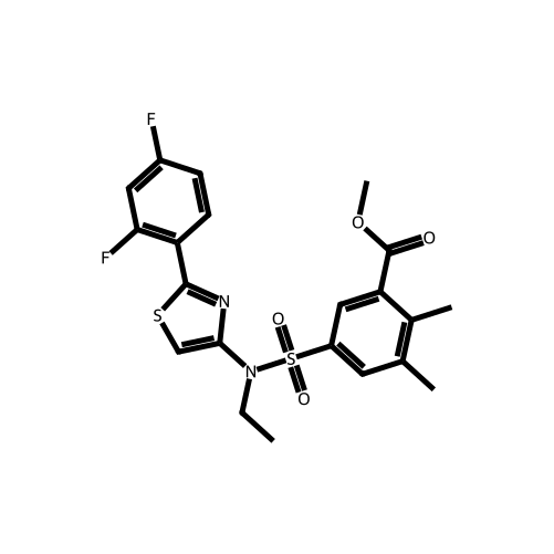 CCN(c1csc(-c2ccc(F)cc2F)n1)S(=O)(=O)c1cc(C)c(C)c(C(=O)OC)c1